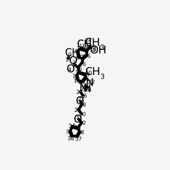 CCOC(=O)C(Cc1ccc(C)c([C@H](C)O)c1)c1ccc2c(nnn2CCOCCCOCc2ccccc2)c1C